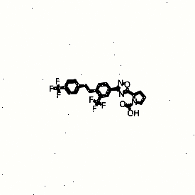 O=C(O)N1CCCC1c1nc(-c2ccc(CCc3ccc(C(F)(F)F)cc3)c(C(F)(F)F)c2)no1